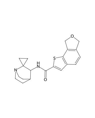 O=C(NC1C2CCN(CC2)C12CC2)c1cc2ccc3c(c2s1)COC3